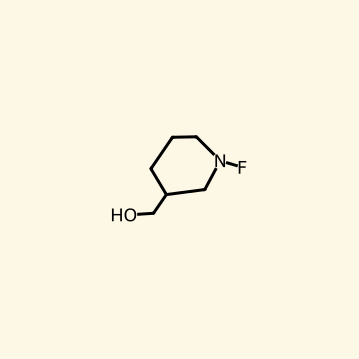 OCC1CCCN(F)C1